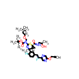 C#CCOc1cnc(/C(F)=C/c2ccc(F)c([C@@]3(C)N=C(N(COCC[Si](C)(C)C)C(=O)OC(C)(C)C)S[C@@]4(C(=O)NCC(C)O)C[C@H]43)c2)cn1